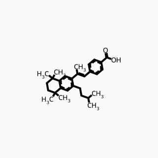 CC(=Cc1ccc(C(=O)O)cc1)c1cc2c(cc1CCC(C)C)C(C)(C)CCC2(C)C